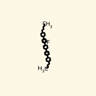 CCCCCC1CCC(c2ccc(C3=CCC(c4ccc(C5CCC(CCCC)CC5)cc4)CC3)c(F)c2)CC1